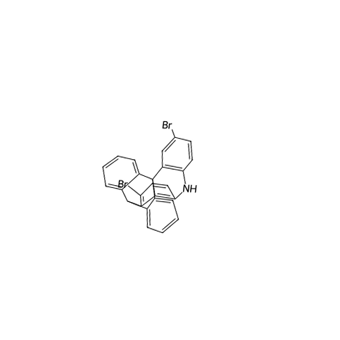 Brc1ccc2c(c1)C13c4ccccc4C(c4ccccc41)c1c(Br)ccc(c13)N2